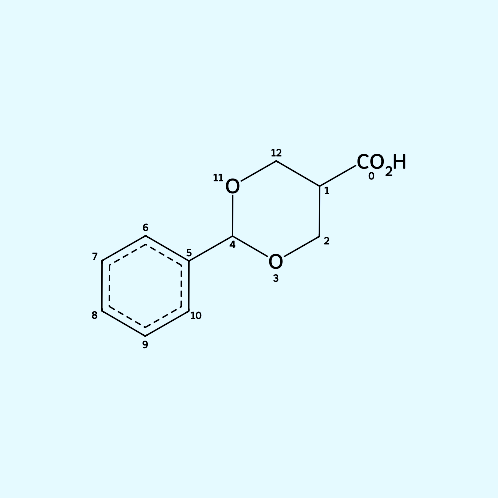 O=C(O)C1COC(c2ccccc2)OC1